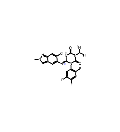 [2H]C([2H])n1c(=O)[nH]/c(=N\c2cc3cn(C)nc3cc2Cl)n(-c2cc(F)c(F)cc2F)c1=O